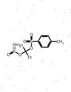 CCC(CC)(O[PH](=O)O)OS(=O)(=O)c1ccc(C)cc1